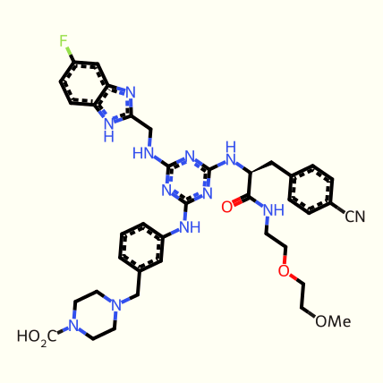 COCCOCCNC(=O)[C@H](Cc1ccc(C#N)cc1)Nc1nc(NCc2nc3cc(F)ccc3[nH]2)nc(Nc2cccc(CN3CCN(C(=O)O)CC3)c2)n1